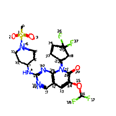 CS(=O)(=O)N1CCC(Nc2ncc3cc(OC(F)F)c(=O)n(C4CCC(F)(F)C4)c3n2)CC1